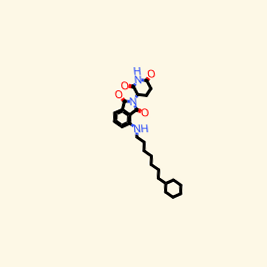 O=C1CCC(N2C(=O)c3cccc(NCCCCCCCC4CCCCC4)c3C2=O)C(=O)N1